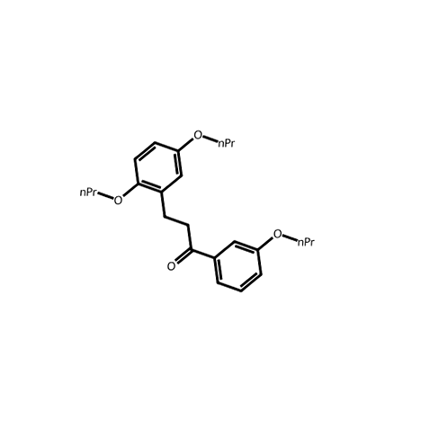 CCCOc1cccc(C(=O)CCc2cc(OCCC)ccc2OCCC)c1